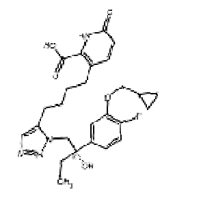 CC[C@@](O)(Cn1nncc1CCCCc1ccc(=O)[nH]c1C(=O)O)c1ccc(F)c(OCC2CC2)c1